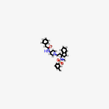 Cc1cccc(S(=O)(=O)N(C)CC2(CCN3CCC(NC(=O)Cc4ccccc4)CC3)CCc3ccccc32)c1